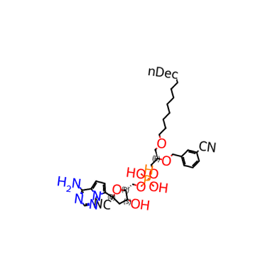 CCCCCCCCCCCCCCCCCCOC[C@H](CO[PH](O)(O)OC[C@H]1O[C@@](C#N)(c2ccc3c(N)ncnn23)C[C@@H]1O)OCc1cccc(C#N)c1